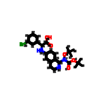 CC(C)(C)OC(=O)N(OC(C)(C)C)c1nccc2cc(NC(C(=O)O)c3cccc(Br)c3)ccc12